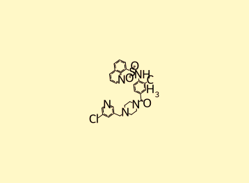 Cc1cc(C(=O)N2CCN(Cc3cncc(Cl)c3)CC2)ccc1NS(=O)(=O)c1cccc2cccnc12